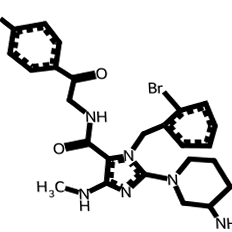 CNc1nc(N2CCCC(N)C2)n(Cc2ccccc2Br)c1C(=O)NCC(=O)c1ccc(Cl)cc1